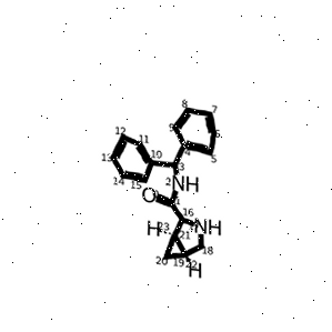 O=C(NC(c1ccccc1)c1ccccc1)C1NC[C@@H]2C[C@@H]12